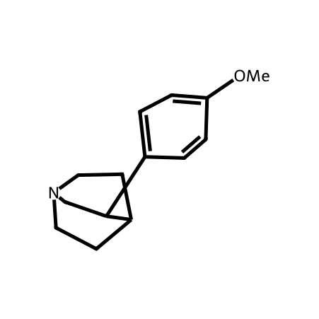 COc1ccc(C2CN3CCC2CC3)cc1